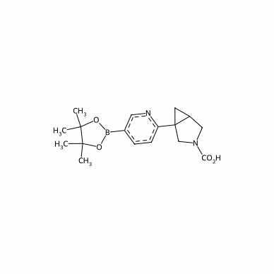 CC1(C)OB(c2ccc(C34CC3CN(C(=O)O)C4)nc2)OC1(C)C